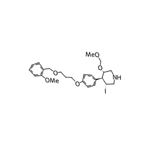 COCO[C@@H]1CNC[C@H](I)[C@H]1c1ccc(OCCCOCc2ccccc2OC)cc1